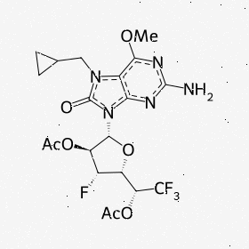 COc1nc(N)nc2c1n(CC1CC1)c(=O)n2[C@@H]1O[C@H]([C@@H](OC(C)=O)C(F)(F)F)[C@H](F)[C@H]1OC(C)=O